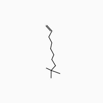 [CH]=CCCCCCCC(C)(C)C